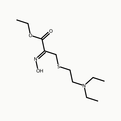 CCOC(=O)C(CSCCN(CC)CC)=NO